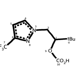 CC(C)(C)C(Cn1ccc(C(F)(F)F)n1)OC(=O)O